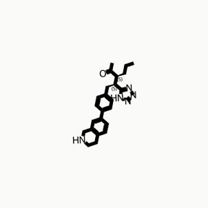 CCC[C@H](C(C)=O)[C@H](Cc1ccc(-c2ccc3c(c2)CNCC3)cc1)c1nnn[nH]1